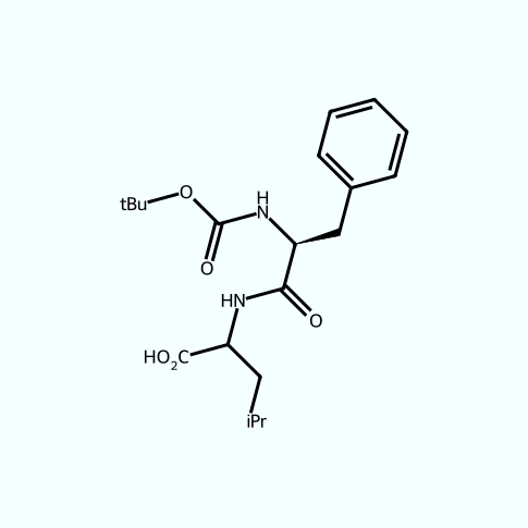 CC(C)CC(NC(=O)[C@H](Cc1ccccc1)NC(=O)OC(C)(C)C)C(=O)O